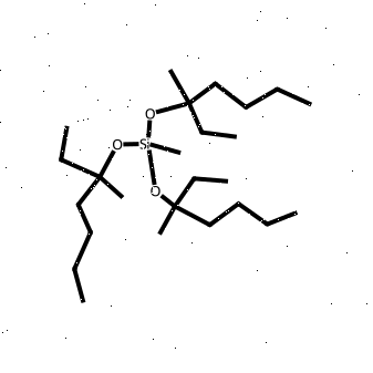 CCCCC(C)(CC)O[Si](C)(OC(C)(CC)CCCC)OC(C)(CC)CCCC